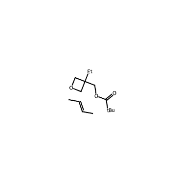 CC=CC.CCC1(COC(=O)C(C)(C)C)COC1